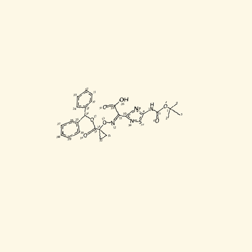 CC(C)(C)OC(=O)Nc1nc(C(=NOC2(C(=O)OC(c3ccccc3)c3ccccc3)CC2)C(=O)O)ns1